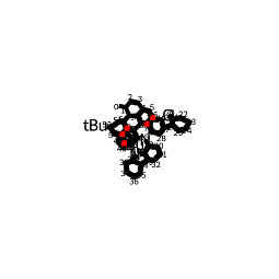 CC1C=Cc2cccc(-c3ccccc3N(c3ccc4oc5ccccc5c4c3)c3cccc4c5ccccc5n(-c5ccccc5)c34)c2C1c1cc(C(C)(C)C)cc(C(C)(C)C)c1